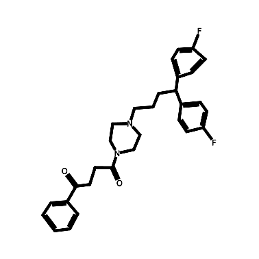 O=C(CCC(=O)N1CCN(CCCC(c2ccc(F)cc2)c2ccc(F)cc2)CC1)c1ccccc1